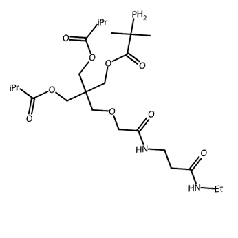 CCNC(=O)CCNC(=O)COCC(COC(=O)C(C)C)(COC(=O)C(C)C)COC(=O)C(C)(C)P